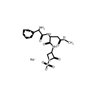 CNC(=O)CC(NC(=O)C(N)c1ccccc1)C(=O)NC1CN(S(=O)(=O)[O-])C1=O.[Na+]